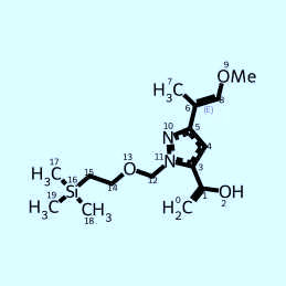 C=C(O)c1cc(/C(C)=C/OC)nn1COCC[Si](C)(C)C